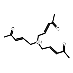 CC(=O)C=CC[SiH](CC=CC(C)=O)CC=CC(C)=O